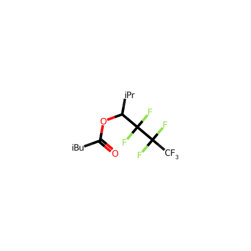 CCC(C)C(=O)OC(C(C)C)C(F)(F)C(F)(F)C(F)(F)F